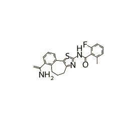 C=C(N)c1cccc2c1CCCc1nc(NC(=O)c3c(C)cccc3F)sc1-2